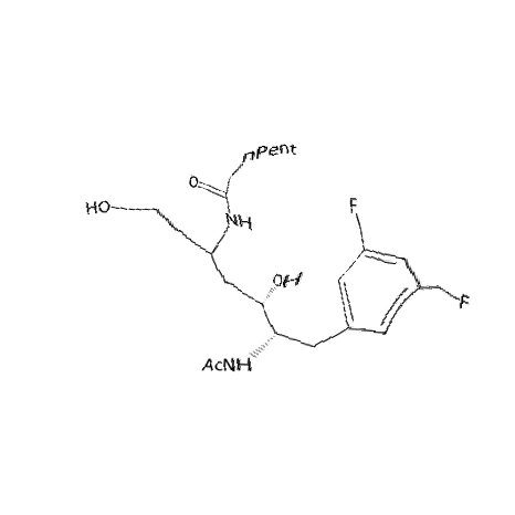 CCCCCC(=O)NC(CCO)C[C@H](O)[C@H](Cc1cc(F)cc(F)c1)NC(C)=O